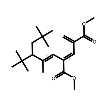 C=C(/C=C(\C=C(/C)C(CC(C)(C)C)C(C)(C)C)C(=O)OC)C(=O)OC